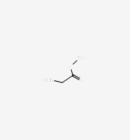 NCC(=O)[O][Mo]